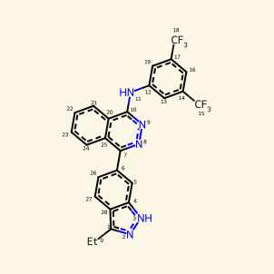 CCc1n[nH]c2cc(-c3nnc(Nc4cc(C(F)(F)F)cc(C(F)(F)F)c4)c4ccccc34)ccc12